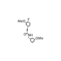 COc1cccc(CNC(=O)C#Cc2ccc(F)c(OC)c2)c1